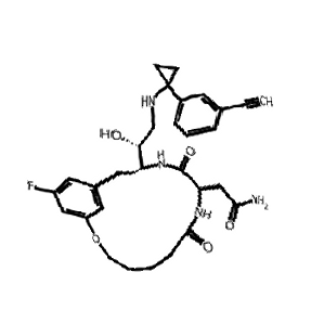 C#Cc1cccc(C2(NC[C@@H](O)[C@@H]3Cc4cc(F)cc(c4)OCCCCC(=O)NC(CC(N)=O)C(=O)N3)CC2)c1